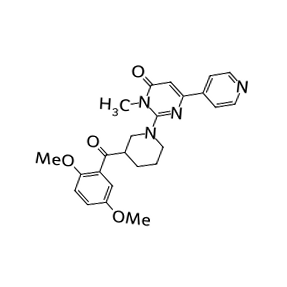 COc1ccc(OC)c(C(=O)C2CCCN(c3nc(-c4ccncc4)cc(=O)n3C)C2)c1